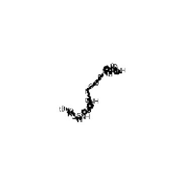 C=C1CCC(N2C(=O)c3cccc(NCCOCCOCCOCCN(C)CCCC(=O)Nc4ccc(OC5CCC[C@@H](Nc6ncc(SCc7ncc(C(C)(C)C)o7)s6)C5)cc4)c3C2=O)C(=O)N1